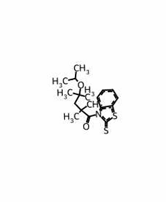 CC(C)OC(C)(C)CC(C)(C)C(=O)n1c(=S)sc2ccccc21